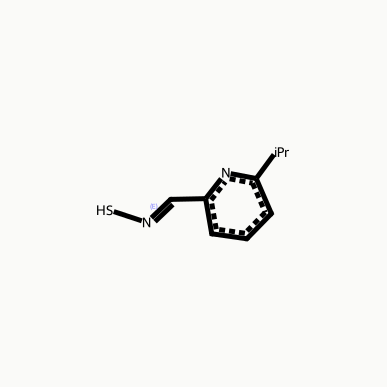 CC(C)c1cccc(/C=N/S)n1